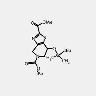 COC(=O)c1nc2c(s1)C(O[Si](C)(C)C(C)(C)C)CN(C(=O)OC(C)(C)C)C2